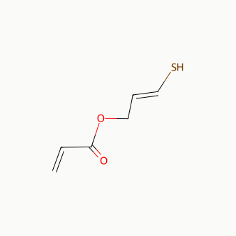 C=CC(=O)OCC=CS